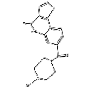 CC(=O)N1CCN(C(=O)c2ccc3c(c2)[nH]c(=O)c2ccsc23)CC1